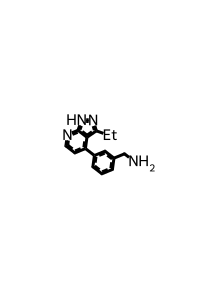 CCc1n[nH]c2nccc(-c3cccc(CN)c3)c12